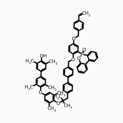 C=Cc1ccc(COc2ccc(OCc3ccc(-c4ccc(CC(C)(C)Oc5c(C)cc(Oc6c(C)cc(-c7cc(C)c(O)c(C)c7)cc6C)cc5C)cc4)cc3)c(P3(=O)Oc4ccccc4-c4ccccc43)c2)cc1